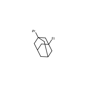 CCC12CC3CC(C1)CC(C(C)C)(C3)C2